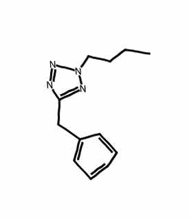 CCCCn1nnc(Cc2ccccc2)n1